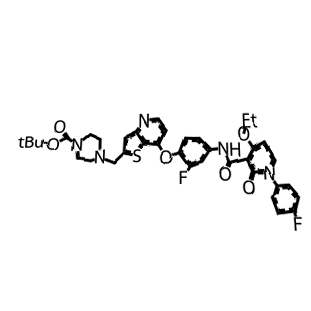 CCOc1ccn(-c2ccc(F)cc2)c(=O)c1C(=O)Nc1ccc(Oc2ccnc3cc(CN4CCN(C(=O)OC(C)(C)C)CC4)sc23)c(F)c1